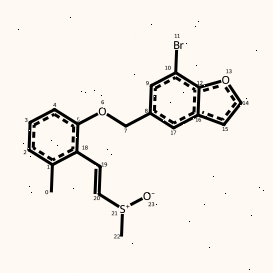 Cc1cccc(OCc2cc(Br)c3occc3c2)c1C=C[S+](C)[O-]